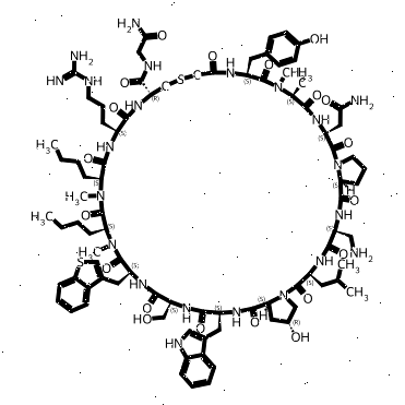 CCCC[C@H]1C(=O)N(C)[C@@H](CCCC)C(=O)N[C@@H](CCCNC(=N)N)C(=O)N[C@H](C(=O)NCC(N)=O)CSCC(=O)N[C@@H](Cc2ccc(O)cc2)C(=O)N(C)[C@@H](C)C(=O)N[C@@H](CC(N)=O)C(=O)N2CCC[C@H]2C(=O)N[C@@H](CN)C(=O)N[C@@H](CC(C)C)C(=O)N2C[C@H](O)C[C@H]2C(=O)N[C@@H](Cc2c[nH]c3ccccc23)C(=O)N[C@@H](CO)C(=O)N[C@@H](Cc2csc3ccccc23)C(=O)N1C